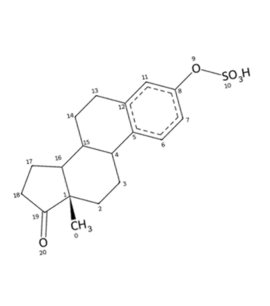 C[C@]12CCC3c4ccc(OS(=O)(=O)O)cc4CCC3C1CCC2=O